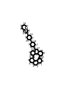 c1cc2ccc3cccc4c5cccc6c(-c7ccc(-c8ccc(-c9cn%10ccccc%10n9)cc8)cc7)cc7cccc(c(c1)c2c34)c7c65